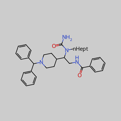 CCCCCCCN(C(N)=O)C(CNC(=O)c1ccccc1)C1CCN(C(c2ccccc2)c2ccccc2)CC1